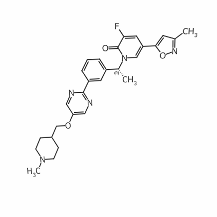 Cc1cc(-c2cc(F)c(=O)n([C@H](C)c3cccc(-c4ncc(OCC5CCN(C)CC5)cn4)c3)c2)on1